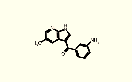 Cc1cnc2[nH]cc(C(=O)c3cccc(N)c3)c2c1